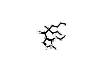 CCCCC(C)(CCC)C(=O)c1cnn(C)c1OCC